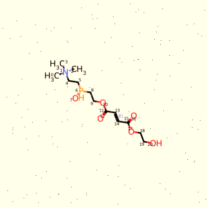 C[N+](C)(C)CC[PH](=O)CCOC(=O)/C=C/C(=O)OCCO